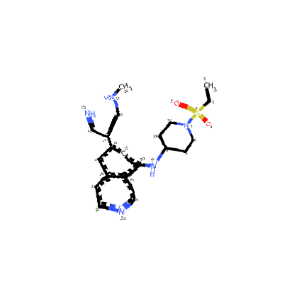 CCS(=O)(=O)N1CCC(Nc2cc(/C(C=N)=C/NC)cc3ccncc23)CC1